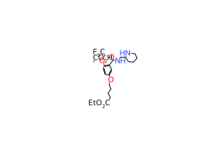 CC(=O)O.CCOC(=O)CCCCOc1ccc(OCC(F)(F)F)c(C(=O)NCC2CCCCN2)c1